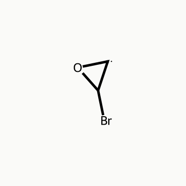 BrC1[CH]O1